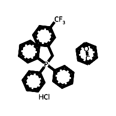 Cl.FC(F)(F)c1cccc(C[P](c2ccccc2)(c2ccccc2)c2ccccc2)c1.c1cc2ccc1CO2